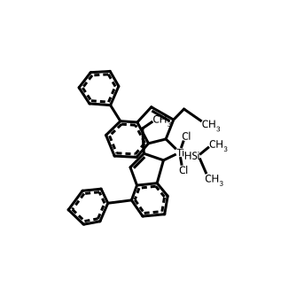 CCC1=Cc2c(-c3ccccc3)cccc2[CH]1[Ti]([Cl])([Cl])([CH]1C(CC)=Cc2c(-c3ccccc3)cccc21)[SiH](C)C